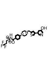 O=C(NS(=O)(=O)CCC(F)(F)F)c1ccc(N2CCN(Cc3cc(-c4cncc(O)c4)cs3)CC2)cc1